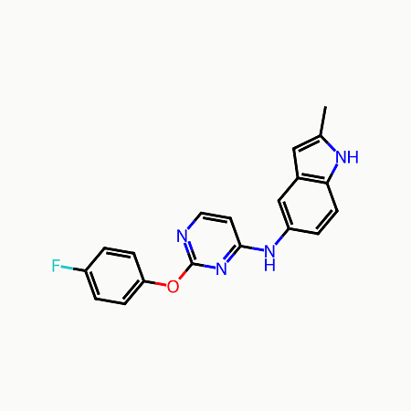 Cc1cc2cc(Nc3ccnc(Oc4ccc(F)cc4)n3)ccc2[nH]1